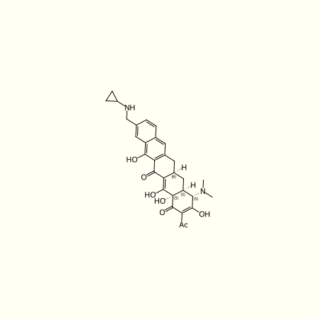 CC(=O)C1=C(O)[C@@H](N(C)C)[C@@H]2C[C@@H]3Cc4cc5ccc(CNC6CC6)cc5c(O)c4C(=O)C3=C(O)[C@]2(O)C1=O